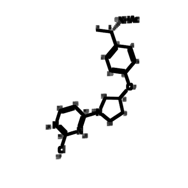 CC(=O)N[C@@H](C)c1ccc(OC2CCN(c3ccnc(Cl)n3)C2)cc1